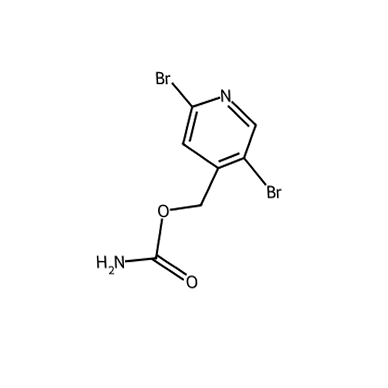 NC(=O)OCc1cc(Br)ncc1Br